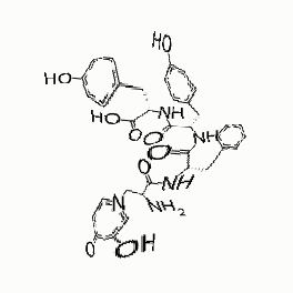 N[C@@H](Cn1ccc(=O)c(O)c1)C(=O)N[C@@H](Cc1ccccc1)C(=O)N[C@@H](Cc1ccc(O)cc1)C(=O)N[C@@H](Cc1ccc(O)cc1)C(=O)O